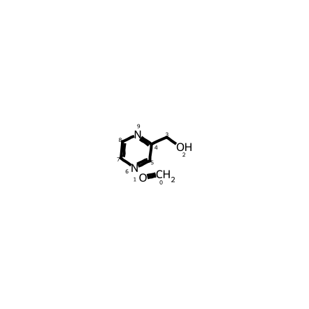 C=O.OCc1cnccn1